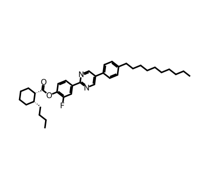 CCCCCCCCCCc1ccc(-c2cnc(-c3ccc(OC(=O)[C@H]4CCCC[C@H]4CCCC)c(F)c3)nc2)cc1